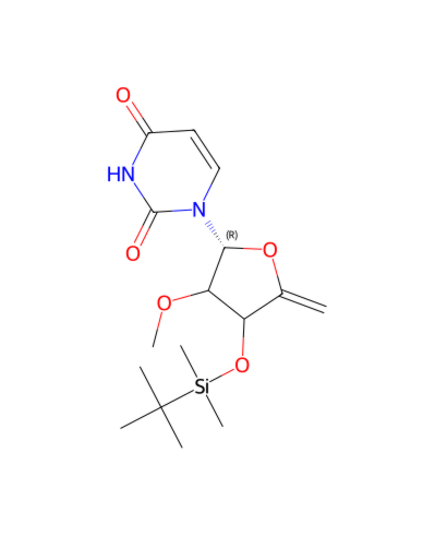 C=C1O[C@@H](n2ccc(=O)[nH]c2=O)C(OC)C1O[Si](C)(C)C(C)(C)C